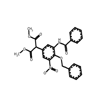 COC(=O)C(C(=O)OC)c1cc(NC(=O)c2ccccc2)c(OCc2ccccc2)c([N+](=O)[O-])c1